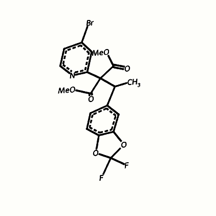 COC(=O)C(C(=O)OC)(c1cc(Br)ccn1)C(C)c1ccc2c(c1)OC(F)(F)O2